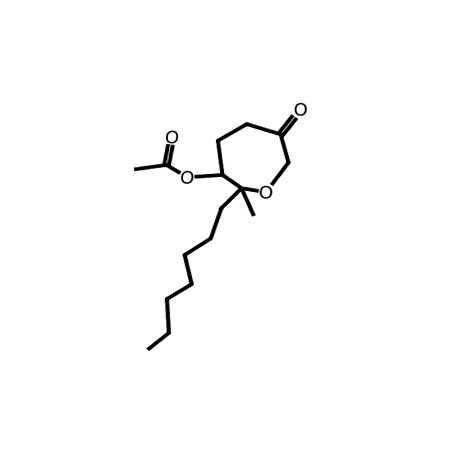 CCCCCCCC1(C)OCC(=O)CCC1OC(C)=O